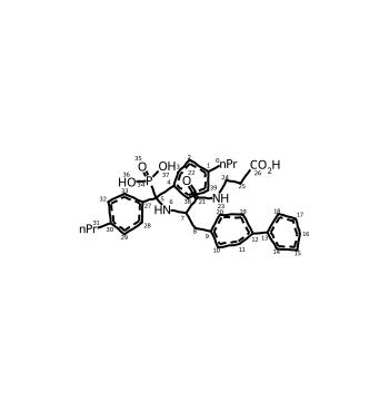 CCCc1ccc(C(NC(Cc2ccc(-c3ccccc3)cc2)C(=O)NCCC(=O)O)(c2ccc(CCC)cc2)P(=O)(O)O)cc1